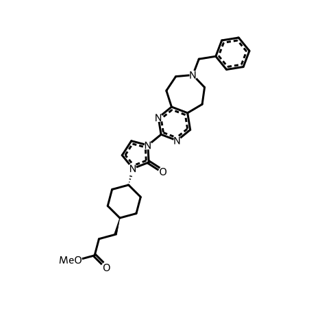 COC(=O)CC[C@H]1CC[C@H](n2ccn(-c3ncc4c(n3)CCN(Cc3ccccc3)CC4)c2=O)CC1